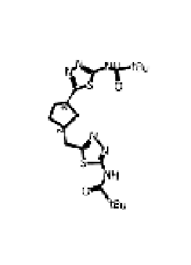 CC(C)(C)C(=O)Nc1nnc(C[C@H]2CC[C@@H](c3nnc(NC(=O)C(C)(C)C)s3)C2)s1